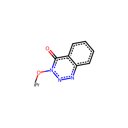 CC(C)On1nnc2ccccc2c1=O